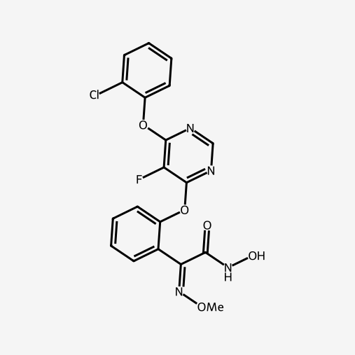 CO/N=C(\C(=O)NO)c1ccccc1Oc1ncnc(Oc2ccccc2Cl)c1F